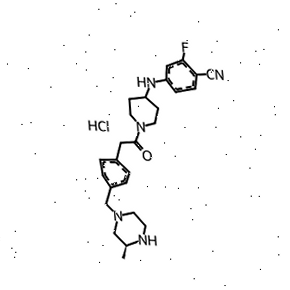 C[C@H]1CN(Cc2ccc(CC(=O)N3CCC(Nc4ccc(C#N)c(F)c4)CC3)cc2)CCN1.Cl